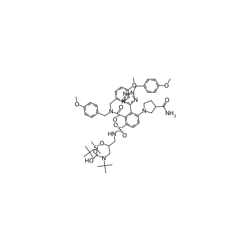 COc1ccc(CN(Cc2ccc(OC)cc2)S(=O)(=O)c2c(S(=O)(=O)NCC(CN(C(=O)O)C(C)(C)C)O[Si](C)(C)C(C)(C)C)ccc(N3CCC(C(N)=O)C3)c2-c2nnn(Cc3ccc(OC)cc3)n2)cc1